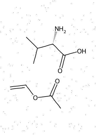 C=COC(C)=O.CC(C)[C@H](N)C(=O)O